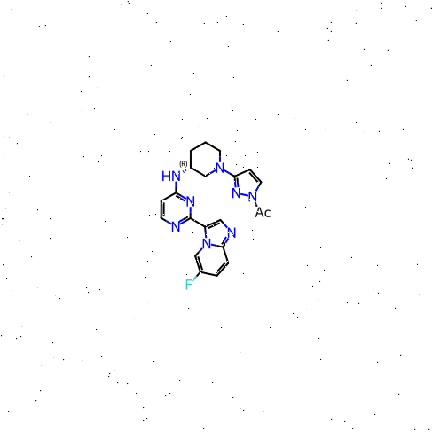 CC(=O)n1ccc(N2CCC[C@@H](Nc3ccnc(-c4cnc5ccc(F)cn45)n3)C2)n1